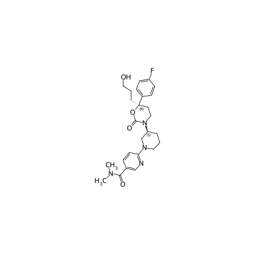 CN(C)C(=O)c1ccc(N2CCC[C@H](N3CC[C@](CCCO)(c4ccc(F)cc4)OC3=O)C2)nc1